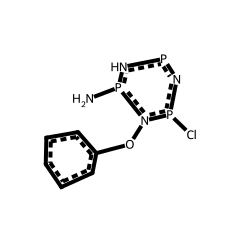 Np1[nH]pnp(Cl)n1Oc1ccccc1